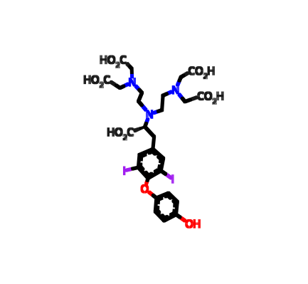 O=C(O)CN(CCN(CCN(CC(=O)O)CC(=O)O)[C@@H](Cc1cc(I)c(Oc2ccc(O)cc2)c(I)c1)C(=O)O)CC(=O)O